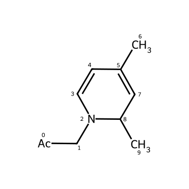 CC(=O)CN1C=CC(C)=CC1C